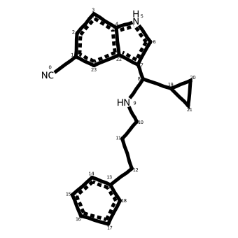 N#Cc1ccc2[nH]cc(C(NCCCc3ccccc3)C3CC3)c2c1